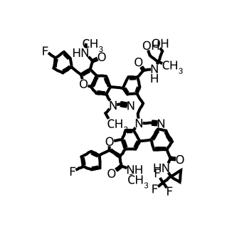 CCN(C#N)c1cc2oc(-c3ccc(F)cc3)c(C(=O)NC)c2cc1-c1cc(CCN(C#N)c2cc3oc(-c4ccc(F)cc4)c(C(=O)NC)c3cc2-c2cccc(C(=O)NC3(C(F)(F)F)CC3)c2)cc(C(=O)NC(C)(CO)CO)c1